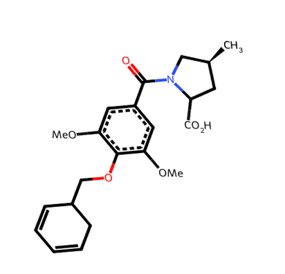 COc1cc(C(=O)N2C[C@@H](C)CC2C(=O)O)cc(OC)c1OCC1C=CC=CC1